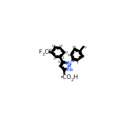 Cc1ccc(-n2nc(C(=O)O)cc2-c2cccc(C(F)(F)F)c2)cc1